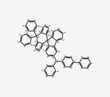 c1ccc(-c2ccc(N(c3ccccc3)c3ccc4c(c3)-c3ccccc3C43c4ccccc4C(c4ccccc4)(c4ccccc4)c4ccccc43)cc2)cc1